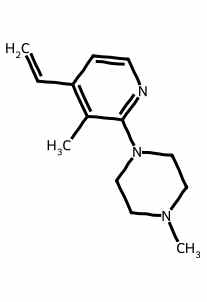 C=Cc1ccnc(N2CCN(C)CC2)c1C